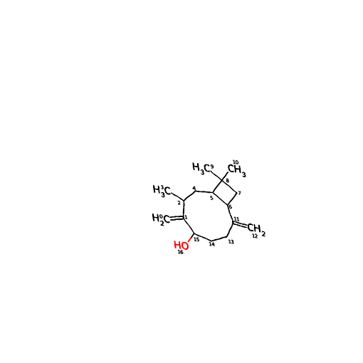 C=C1C(C)CC2C(CC2(C)C)C(=C)CCC1O